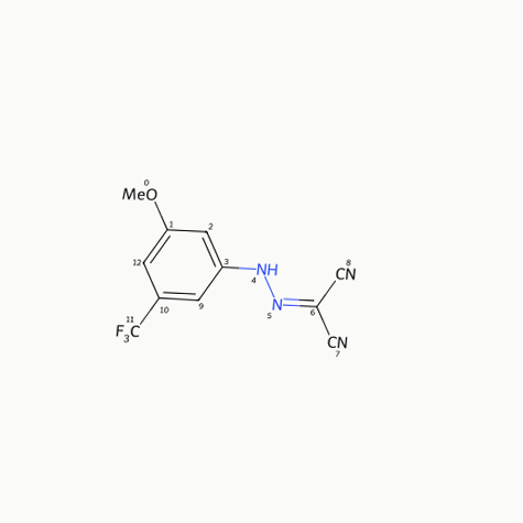 COc1cc(NN=C(C#N)C#N)cc(C(F)(F)F)c1